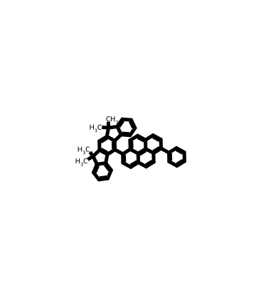 CC1(C)c2ccccc2-c2c1cc1c(c2-c2ccc3ccc4c(-c5ccccc5)ccc5ccc2c3c54)-c2ccccc2C1(C)C